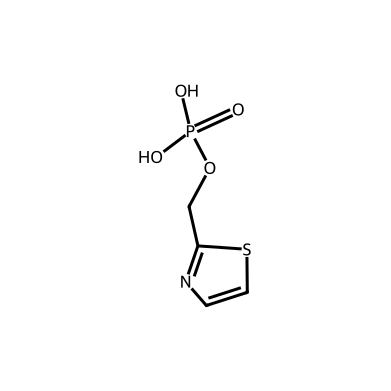 O=P(O)(O)OCc1nccs1